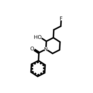 O=C(c1ccccc1)N1CCCC(CCF)C1O